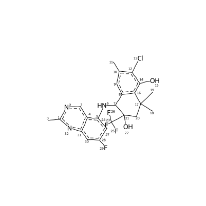 Cc1ncc2c(NC3c4cc(C)c(Cl)c(O)c4C(C)(C)CC3(O)C(F)(F)F)cc(F)cc2n1